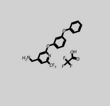 NCc1cc(Oc2cccc(Oc3ccccc3)c2)nc(C(F)(F)F)c1.O=C(O)C(F)(F)F